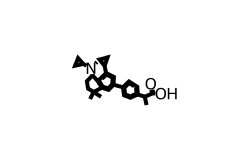 CC(C(=O)O)c1ccc(-c2cc(C3CC3)c3c(c2)C(C)(C)CCC3N(C)C2CC2)cc1